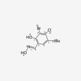 CC(C)(C)c1cc(/C=N/O)c(O)c(Br)c1Cl